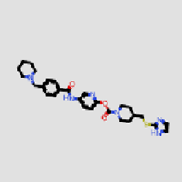 O=C(Nc1ccc(OC(=O)N2CCC(CSc3ncc[nH]3)CC2)nc1)c1ccc(CN2CCCCC2)cc1